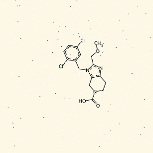 COCc1nc2c(n1Cc1cc(Cl)ccc1Cl)CN(C(=O)O)CC2